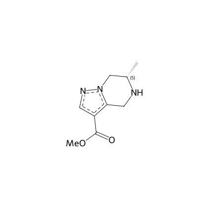 COC(=O)c1cnn2c1CN[C@@H](C)C2